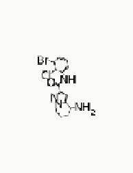 NC1CCCn2nc(C(=O)Nc3cccc(Br)c3Cl)cc21